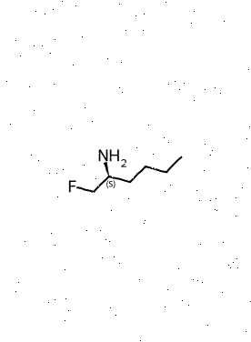 CCCC[C@H](N)CF